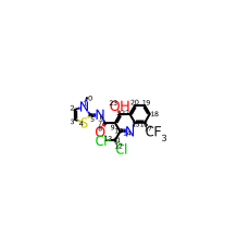 Cn1ccsc1=NC(=O)c1c(C(Cl)Cl)nc2c(C(F)(F)F)cccc2c1O